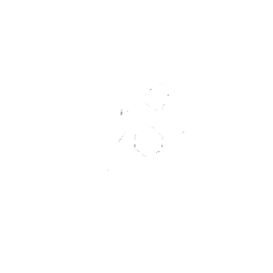 CCC1=Cc2c(ccc(C(C)(C)C)c2-c2ccccc2C(C)C)[CH]1[Zr]([Cl])[Cl]